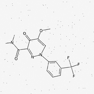 COc1cn(-c2cccc(C(F)(F)F)c2)nc(C(=O)N(C)C)c1=O